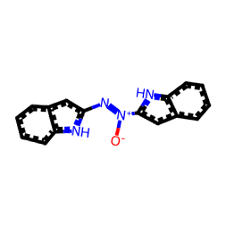 [O-][N+](=Nc1cc2ccccc2[nH]1)c1cc2ccccc2[nH]1